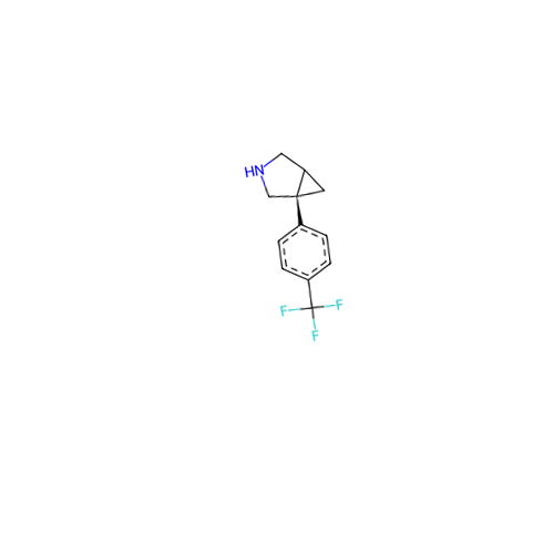 FC(F)(F)c1ccc([C@@]23CNCC2C3)cc1